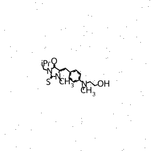 CC(C)CN1C(=O)/C(=C/c2ccc(N(C)CCO)cc2)N(C)C1=S